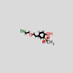 CS(=O)(=O)c1cc(CCOCCBr)ccc1O